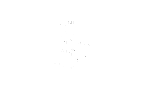 NC(=O)c1cnn(-c2nc(N)c3ncn([C@@H]4OC[C@H](O)[C@@]4(O)CO)c3n2)c1